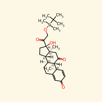 CC(C)(C)[Si](C)(C)OCC(=O)[C@@]1(O)CC[C@H]2[C@@H]3CCC4=CC(=O)C=C[C@]4(C)[C@H]3C(=O)C[C@@]21C